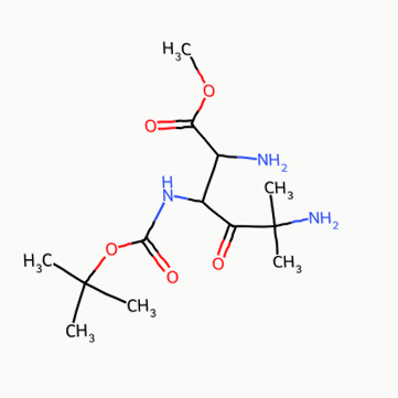 COC(=O)C(N)C(NC(=O)OC(C)(C)C)C(=O)C(C)(C)N